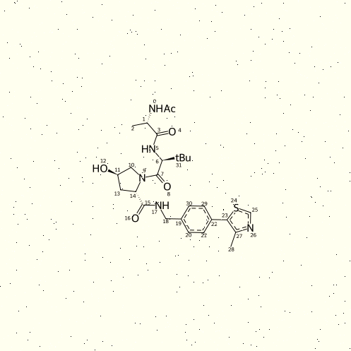 CC(=O)N[C@@H](C)C(=O)N[C@H](C(=O)N1C[C@H](O)C[C@H]1C(=O)NCc1ccc(-c2scnc2C)cc1)C(C)(C)C